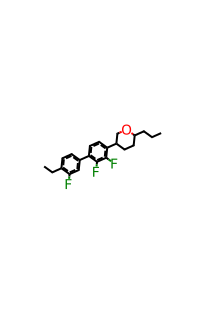 CCCC1CCC(c2ccc(-c3ccc(CC)c(F)c3)c(F)c2F)CO1